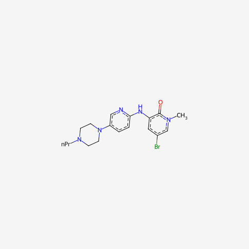 CCCN1CCN(c2ccc(Nc3cc(Br)cn(C)c3=O)nc2)CC1